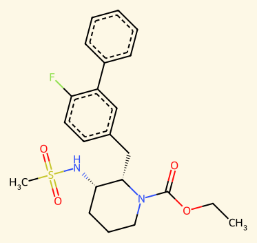 CCOC(=O)N1CCC[C@H](NS(C)(=O)=O)[C@@H]1Cc1ccc(F)c(-c2ccccc2)c1